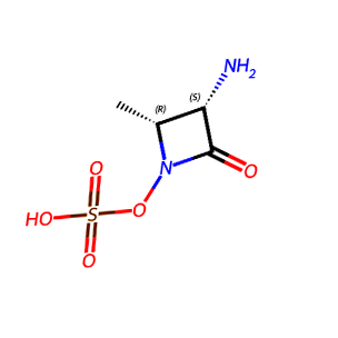 C[C@@H]1[C@H](N)C(=O)N1OS(=O)(=O)O